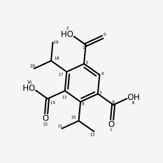 C=C(O)c1cc(C(=O)O)c(C(C)C)c(C(=O)O)c1C(C)C